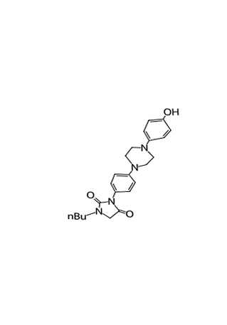 CCCCN1CC(=O)N(c2ccc(N3CCN(c4ccc(O)cc4)CC3)cc2)C1=O